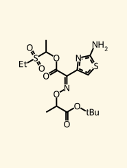 CCS(=O)(=O)C(C)OC(=O)C(=NOC(C)C(=O)OC(C)(C)C)c1csc(N)n1